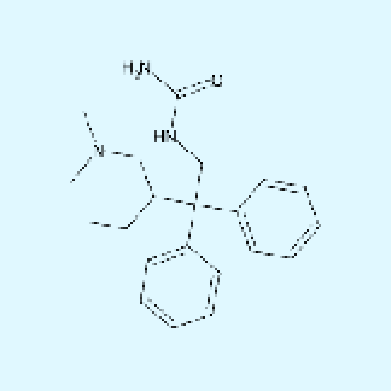 CCC(CN(C)C)C(CNC(N)=O)(c1ccccc1)c1ccccc1